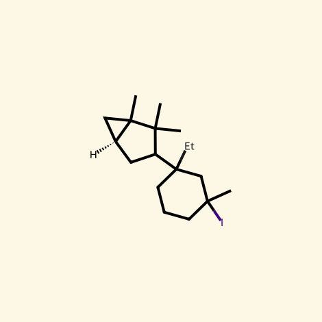 CCC1(C2C[C@H]3CC3(C)C2(C)C)CCCC(C)(I)C1